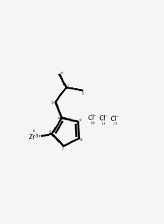 CC(C)CC1=[C]([Zr+3])CC=C1.[Cl-].[Cl-].[Cl-]